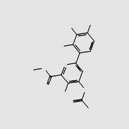 COC(=O)c1nc(-c2ccc(F)c(F)c2F)cc(NC(C)=O)c1Cl